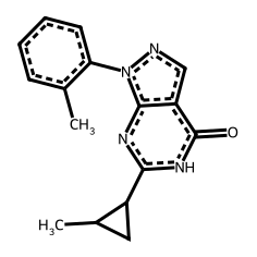 Cc1ccccc1-n1ncc2c(=O)[nH]c(C3CC3C)nc21